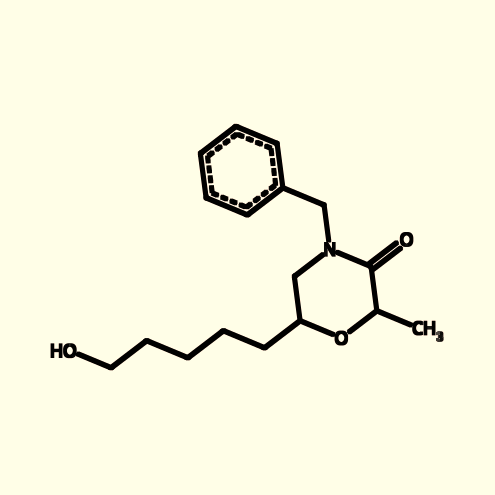 CC1OC(CCCCCO)CN(Cc2ccccc2)C1=O